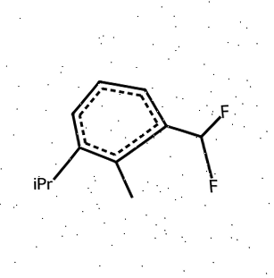 Cc1c(C(C)C)cccc1C(F)F